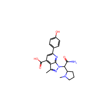 Cc1nn(C(C(N)=O)C2CCCN2C)c2nc(-c3ccc(O)cc3)cc(C(=O)O)c12